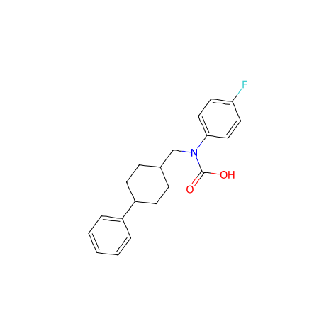 O=C(O)N(CC1CCC(c2ccccc2)CC1)c1ccc(F)cc1